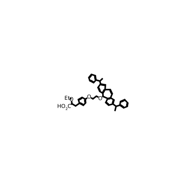 CCOC(Cc1ccc(OCCOC2c3ccc(C(C)c4ccccc4)cc3C=Cc3cc(C(C)c4ccccc4)ccc32)cc1)C(=O)O